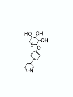 O[C@@H]1[C@@H](O)[C@H](Oc2ccc(-c3cccnc3)cc2)SC[C@H]1O